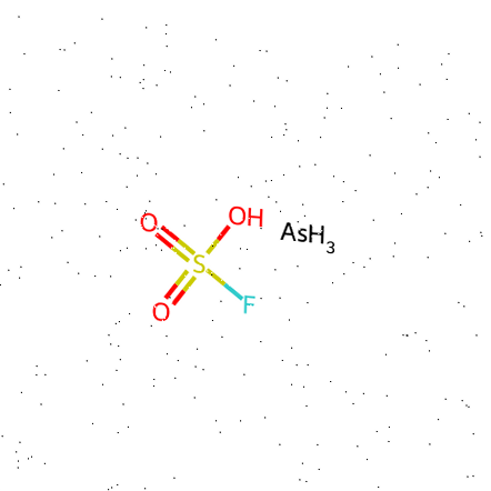 O=S(=O)(O)F.[AsH3]